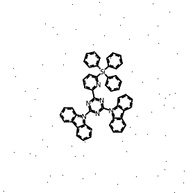 c1ccc([Si](c2ccccc2)(c2ccccc2)c2cccc(-c3nc(-n4c5ccccc5c5ccccc54)nc(-n4c5ccccc5c5ccccc54)n3)n2)cc1